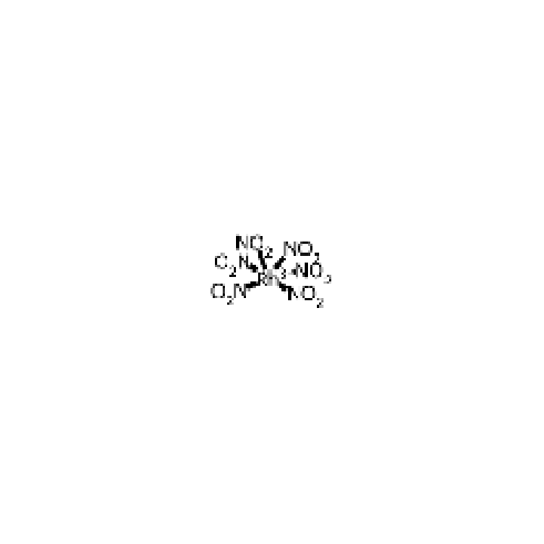 O=[N+]([O-])[Rh-3]([N+](=O)[O-])([N+](=O)[O-])([N+](=O)[O-])([N+](=O)[O-])[N+](=O)[O-]